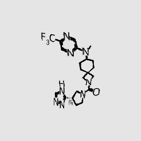 CN(c1cnc(C(F)(F)F)cn1)C1CCC2(CC1)CN(C(=O)N1CC[C@H](c3nnc[nH]3)C1)C2